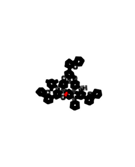 Cc1cc(C)c(N2c3cc4c(cc3B3c5ccccc5Oc5cc(-c6cccc7c6oc6ccccc67)cc2c53)B2c3cc5c(cc3Oc3cc(-c6cccc7c6oc6ccccc67)cc(c32)O4)Nc2cc(-c3cccc4c3oc3ccccc34)cc3c2B5c2ccccc2N3c2ccccc2)c(C)c1